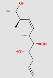 C=CC[C@H](O)[C@H](O)[C@H](C)/C=C\[C@@H](C)[C@H](C)O